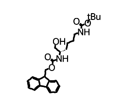 CC(C)(C)OC(=O)NCCCC[C@@H](CO)NC(=O)OCC1c2ccccc2-c2ccccc21